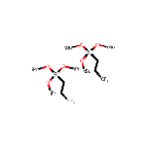 CC(C)(C)O[Si](CCC(F)(F)F)(OC(C)(C)C)OC(C)(C)C.CC(C)O[Si](CCC(F)(F)F)(OC(C)C)OC(C)C